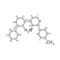 Cc1ccc(-c2cccc(-c3cccc(-c4ccccc4)c3)c2N)cc1